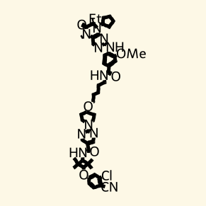 CC[C@@H]1C(=O)N(C)c2cnc(Nc3ccc(C(=O)NCCCCCOC4CCN(c5ncc(C(=O)NC6C(C)(C)C(Oc7ccc(C#N)c(Cl)c7)C6(C)C)cn5)CC4)cc3OC)nc2N1C1CCCC1